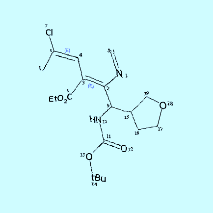 C=N/C(=C(\C=C(/C)Cl)C(=O)OCC)C(NC(=O)OC(C)(C)C)C1CCOC1